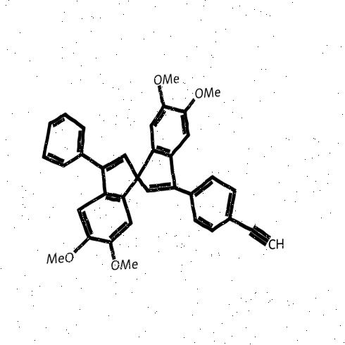 C#Cc1ccc(C2=CC3(C=C(c4ccccc4)c4cc(OC)c(OC)cc43)c3cc(OC)c(OC)cc32)cc1